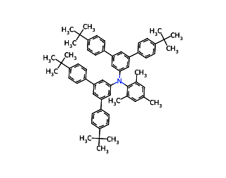 Cc1cc(C)c(N(c2cc(-c3ccc(C(C)(C)C)cc3)cc(-c3ccc(C(C)(C)C)cc3)c2)c2cc(-c3ccc(C(C)(C)C)cc3)cc(-c3ccc(C(C)(C)C)cc3)c2)c(C)c1